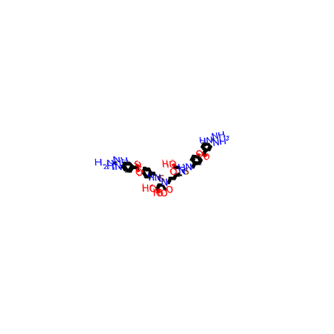 N=C(N)Nc1ccc(C(=O)Oc2ccc(CNSN(CCCCCN(SNCc3ccc(OC(=O)c4ccc(NC(=N)N)cc4)cc3)C(CC(=O)O)C(=O)O)CC(=O)O)cc2)cc1